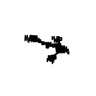 CC(C)[C@H](NC(=O)CCCCC(=O)Oc1c(F)c(F)cc(F)c1F)C(=O)N[C@@H](CCCNC(N)=O)C(=O)Nc1ccc(COC(=O)NCCOCCOCCNC(=O)OC(C)(C)C)cc1